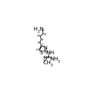 CN=C(N)Nc1nc(CCCCN)cs1